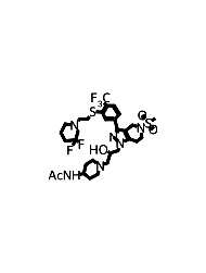 CC(=O)NC1CCN(CC(O)Cn2nc(-c3ccc(C(F)(F)F)c(SCCN4CCCC(F)(F)C4)c3)c3c2CCN(S(C)(=O)=O)C3)CC1